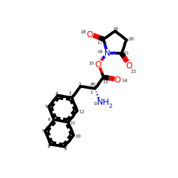 N[C@H](Cc1ccc2ccccc2c1)C(=O)ON1C(=O)CCC1=O